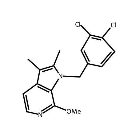 COc1nccc2c(C)c(C)n(Cc3ccc(Cl)c(Cl)c3)c12